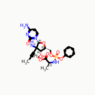 CC#CC1(N)[C@@H](O)[C@@H](COP(=O)(N[C@@H](C)C(=O)OC(C)C)Oc2ccccc2)O[C@H]1n1ccc(N)nc1=O